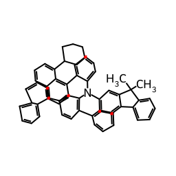 CC1(C)c2ccccc2-c2ccc(N(c3cc(-c4cccc5ccccc45)ccc3-c3ccccc3)c3ccccc3-c3cccc4cccc(C5CCCCC5)c34)cc21